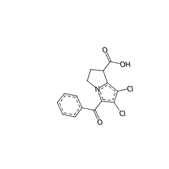 O=C(c1ccccc1)c1c(Cl)c(Cl)c2n1CCC2C(=O)O